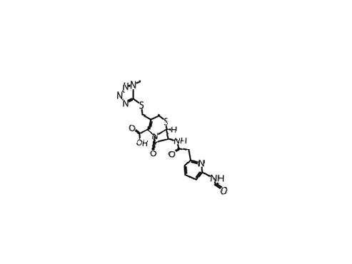 Cn1nnnc1SCC1=C(C(=O)O)N2C(=O)C(NC(=O)Cc3cccc(NC=O)n3)[C@H]2SC1